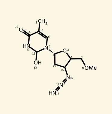 COCC1O[C@@H](N2C=C(C)C(=O)NC2O)CC1N=[N+]=N